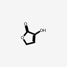 O=C1OC[C]=C1O